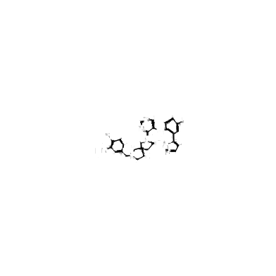 CC(C)n1nccc1-c1cc(F)ccc1Oc1cncnc1N1CCC2(CCN(Cc3ccc(N)c(N)c3)C2)C1